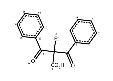 CCC(C(=O)O)(C(=O)c1ccccc1)C(=O)c1ccccc1